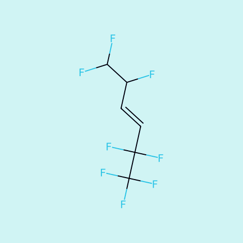 FC(F)C(F)C=CC(F)(F)C(F)(F)F